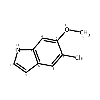 COc1cc2c(cc1Cl)C=C[N]2